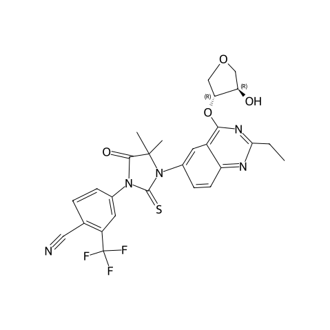 CCc1nc(O[C@@H]2COC[C@H]2O)c2cc(N3C(=S)N(c4ccc(C#N)c(C(F)(F)F)c4)C(=O)C3(C)C)ccc2n1